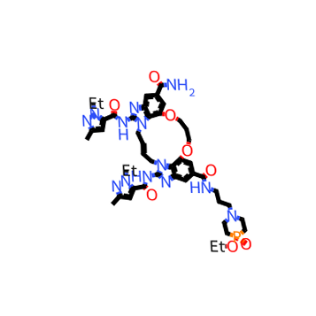 CCOP1(=O)CCN(CCCNC(=O)c2cc3c4c(c2)nc(NC(=O)c2cc(C)nn2CC)n4C/C=C/Cn2c(NC(=O)c4cc(C)nn4CC)nc4cc(C(N)=O)cc(c42)OCCCO3)CC1